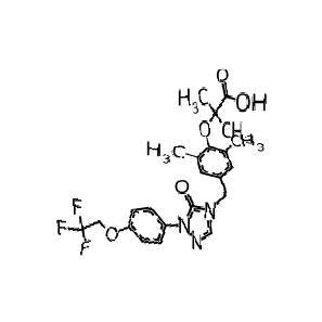 Cc1cc(Cn2cnn(-c3ccc(OCC(F)(F)F)cc3)c2=O)cc(C)c1OC(C)(C)C(=O)O